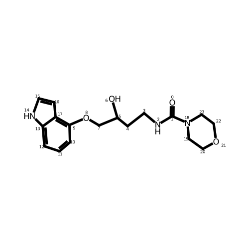 O=C(NCCC(O)COc1cccc2[nH]ccc12)N1CCOCC1